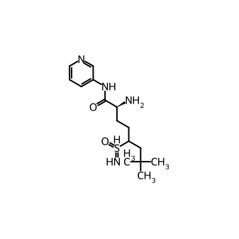 CC(C)(C)CC(CC[C@H](N)C(=O)Nc1cccnc1)[SH](=N)=O